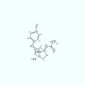 O=C(O[C@]12CC[C@@H](C[C@@H](Oc3ccc(F)cc3)C1)N2)C(F)(F)F